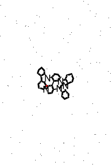 c1ccc(-n2c3ccccc3c3ccccc32)c(-c2cnccc2-n2c3ccccc3n3c4ccccc4nc23)c1